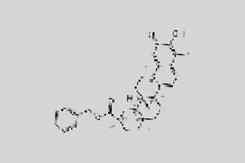 CC1=C(O)C(=O)C=C2C1=CC=C1[C@@]2(C)CC[C@@]2(C)[C@@H]3C[C@](C)(C(=O)OCc4ccccc4)CC[C@]3(C)CC[C@]12C